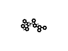 c1ccc(-c2cc3oc4c(ccc5c4c4ccccc4n5-c4nc(-c5cccc6sc7ccccc7c56)c5sc6ccccc6c5n4)c3c3ccccc23)cc1